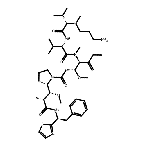 C=C(CC)[C@@H]([C@@H](CC(=O)N1CCC[C@H]1[C@H](OC)[C@@H](C)C(=O)N[C@@H](Cc1ccccc1)c1nccs1)OC)N(C)C(=O)[C@@H](NC(=O)[C@H](C(C)C)N(C)CCCN)C(C)C